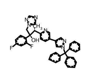 C[C@H](c1ccc(-c2cnn(C(c3ccccc3)(c3ccccc3)c3ccccc3)c2)cn1)[C@@](O)(Cn1cncn1)c1ccc(F)cc1F